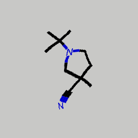 CC1(C#N)CCN(C(C)(C)C)C1